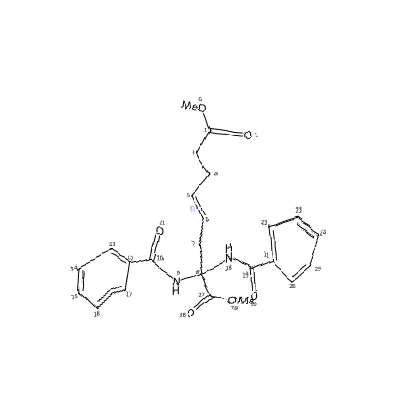 COC(=O)CC/C=C/CC(NC(=O)c1ccccc1)(NC(=O)c1ccccc1)C(=O)OC